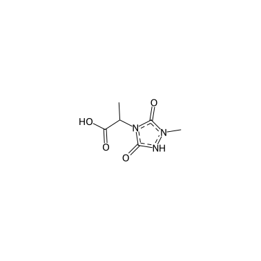 CC(C(=O)O)n1c(=O)[nH]n(C)c1=O